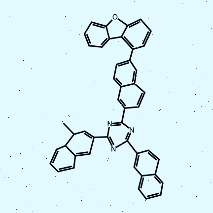 CC1C=C(c2nc(-c3ccc4ccccc4c3)nc(-c3ccc4cc(-c5cccc6oc7ccccc7c56)ccc4c3)n2)C=C2C=CC=CC21